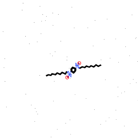 CCCCCCCCCCN(N=O)c1ccc(N(CCCCCCCCCC)N=O)cc1